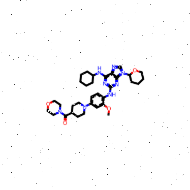 COc1cc(N2CCC(C(=O)N3CCOCC3)CC2)ccc1Nc1nc(NC2CCCCC2)c2ncn(C3CCCCO3)c2n1